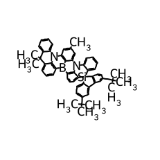 Cc1cc2c3c(c1)N1c4ccccc4[Si]4(c5ccc(C(C)(C)C)cc5-c5cc(C(C)(C)C)ccc54)c4cccc(c41)B3c1cccc3c1N2c1ccccc1C3(C)C